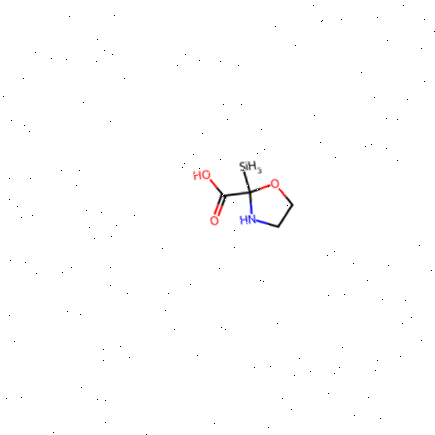 O=C(O)C1([SiH3])NCCO1